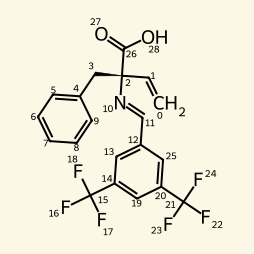 C=C[C@](Cc1ccccc1)(N=Cc1cc(C(F)(F)F)cc(C(F)(F)F)c1)C(=O)O